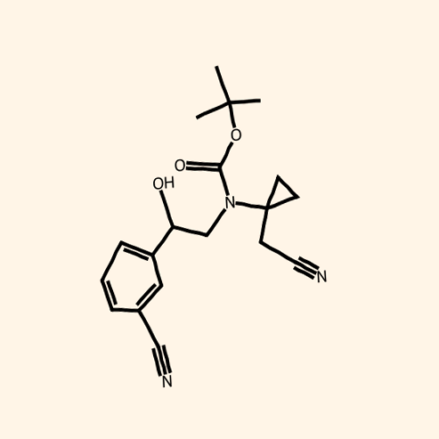 CC(C)(C)OC(=O)N(CC(O)c1cccc(C#N)c1)C1(CC#N)CC1